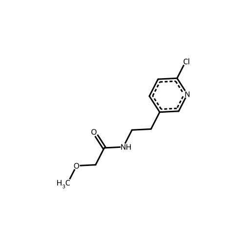 COCC(=O)NCCc1ccc(Cl)nc1